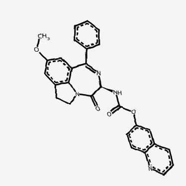 COc1cc2c3c(c1)C(c1ccccc1)=N[C@@H](NC(=O)Oc1ccc4ncccc4c1)C(=O)N3CC2